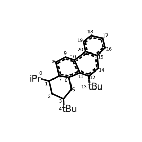 CC(C)C1CC(C(C)(C)C)Cc2c1ccc1c2c(C(C)(C)C)cc2ccccc21